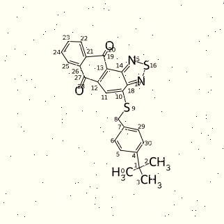 CC(C)(C)c1ccc(CSc2cc3c(c4nsnc24)C(=O)c2ccccc2C3=O)cc1